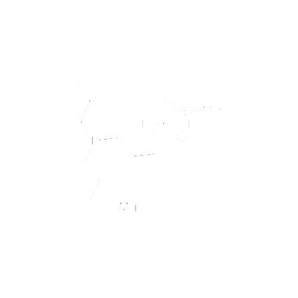 CCCP(CCC)CCC.O.O=[PH]([O-])[O-].[Mg+2]